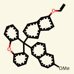 C=COc1ccc2cc(C3(c4ccc5cc(OC)ccc5c4)c4ccccc4Oc4ccccc43)ccc2c1